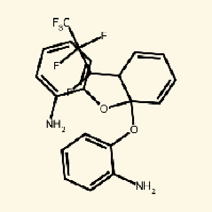 Nc1ccccc1OC1(Oc2ccccc2N)C=CC=CC1C(F)C(F)(F)C(F)(F)F